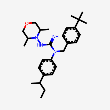 CCC(C)c1ccc(N(Cc2ccc(C(C)(C)C)cc2)C(=N)NN2C(C)COCC2C)cc1